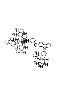 [2H]c1c([2H])c([2H])c(-c2cnc(-n3c4ccccc4c4ccc(Oc5cccc(Nc6ccccc6Nc6c(-c7c([2H])c([2H])c([2H])c([2H])c7[2H])cc(C(C)(C)C)cc6-c6c([2H])c([2H])c([2H])c([2H])c6[2H])c5)cc43)cc2C([2H])([2H])[2H])c([2H])c1[2H]